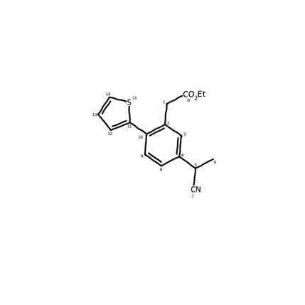 CCOC(=O)Cc1cc(C(C)C#N)ccc1-c1cccs1